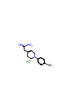 CC(C)(C)c1ccc(N2CC=C(CC(=N)N)CC2)cc1.Cl